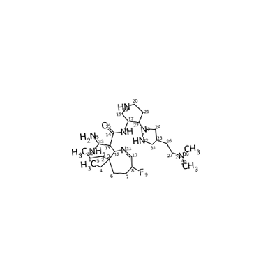 CCCC1(CC)CCC(F)C=NC1C(C(=O)NC1CNCCC1N1CC(CCN(C)C)CN1)C(N)N